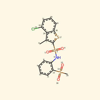 Cc1c(S(=O)(=O)Nc2ccccc2S(C)(=O)=O)sc2cccc(Cl)c12